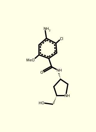 COc1cc(N)c(Cl)cc1C(=O)N[C@@H]1CN[C@H](CO)C1